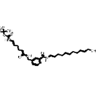 CCCCCCCCCCCCNC(=O)c1cccc(CNC(=O)CCCCCNC(=O)OC(C)(C)C)c1